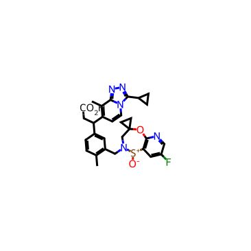 Cc1ccc(C(CC(=O)O)c2ccn3c(C4CC4)nnc3c2C)cc1CN1CC2(CC2)Oc2ncc(F)cc2[S+]1[O-]